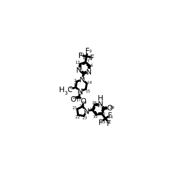 CC1CN(c2ncc(C(F)(F)F)cn2)CCN1C(=O)OC1CCCN1c1c[nH]c(=O)c(C(F)(F)F)c1